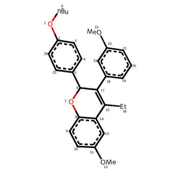 CCCCOc1ccc(C2Oc3ccc(OC)cc3C(CC)=C2c2cccc(OC)c2)cc1